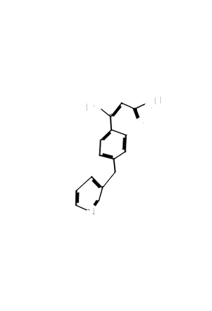 C/C(=C/C(=O)O)c1ccc(Cc2cccnc2)cc1